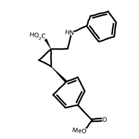 COC(=O)c1ccc([C@H]2C[C@@]2(CNc2ccccc2)C(=O)O)cc1